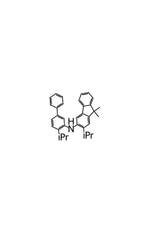 CC(C)c1ccc(-c2ccccc2)cc1Nc1cc2c(cc1C(C)C)C(C)(C)c1ccccc1-2